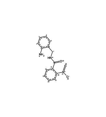 Nc1ccccc1CNC(=O)c1ccccc1[N+](=O)[O-]